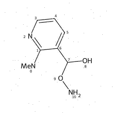 CNc1ncccc1C(O)ON